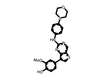 COc1cc(-c2csc3cnc(Nc4ccc(N5CCOCC5)cc4)nc23)ccc1O